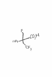 CCCC(F)(C(=O)O)C(F)(F)F